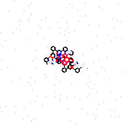 CC(C)c1cccc(C(C)C)c1-n1ccnc1-c1ccc(-c2ccccc2-c2cc(-c3ccccc3-c3ccc(-c4nccn4-c4c(C(C)C)cccc4C(C)C)cc3)cc(-c3cccc(-c4cc(-c5ccccc5-c5ccc(-c6nccn6-c6c(C(C)C)cccc6C(C)C)cc5)cc(-c5ccccc5-c5ccc6cc5C(C)c5cccc(C(C)C)c5-n5ccnc5-6)c4)c3-c3ccc(-c4ccccn4)nc3)c2)cc1